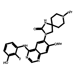 CCCN1CCC2(CC1)CN(c1cc3c(Nc4cccc(O)c4F)ncnc3cc1OC)C(=O)P2